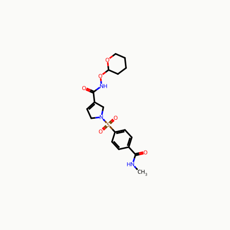 CNC(=O)c1ccc(S(=O)(=O)N2CC=C(C(=O)NOC3CCCCO3)C2)cc1